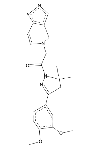 COc1ccc(C2=NN(C(=O)CN3C=Cc4sncc4C3)C(C)(C)C2)cc1OC